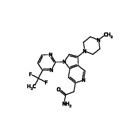 CN1CCN(c2cn(-c3nccc(C(C)(F)F)n3)c3cc(CC(N)=O)ncc23)CC1